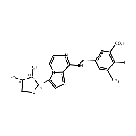 Cc1cc(CNc2nccn3c([C@@H]4SC[C@@H](O)[C@H]4O)cnc23)cc(C(=O)O)c1F